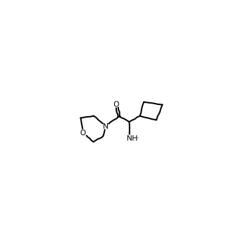 [NH]C(C(=O)N1CCOCC1)C1CCC1